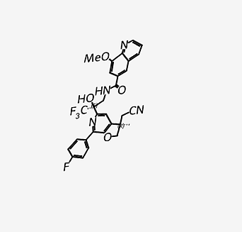 COc1cc(C(=O)NC[C@](O)(c2cc3c(c(-c4ccc(F)cc4)n2)OC[C@]3(C)CC#N)C(F)(F)F)cc2cccnc12